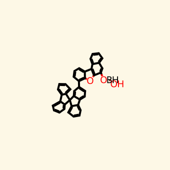 OBOc1cc2ccccc2c2c1oc1c(-c3ccc4c(c3)C3(c5ccccc5-c5ccccc53)c3ccccc3-4)cccc12